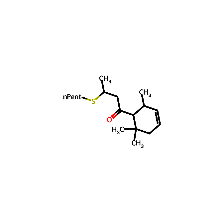 CCCCCSC(C)CC(=O)C1C(C)C=CCC1(C)C